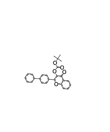 CC(C)(C)OC(=O)Oc1c(-c2ccc(-c3ccccc3)cc2)oc2ccccc2c1=O